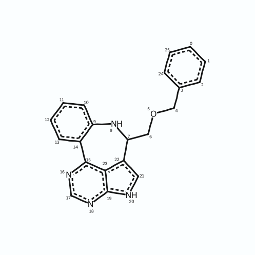 c1ccc(COCC2Nc3ccccc3-c3ncnc4[nH]cc2c34)cc1